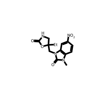 CCC1(Cn2c(=O)n(C)c3ccc([N+](=O)[O-])cc32)CNC(=O)O1